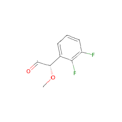 CO[C@H]([C]=O)c1cccc(F)c1F